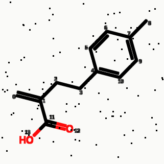 C=C(CCc1ccc(C)cc1)C(=O)O